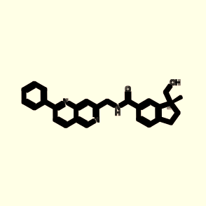 C[C@@]1(CO)CCc2ccc(C(=O)NCc3cc4nc(-c5ccccc5)ccc4cn3)cc21